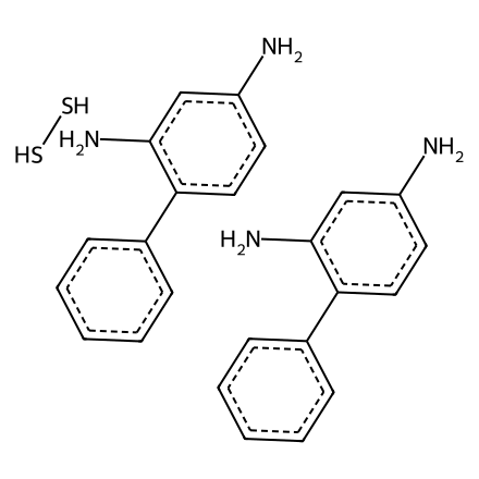 Nc1ccc(-c2ccccc2)c(N)c1.Nc1ccc(-c2ccccc2)c(N)c1.SS